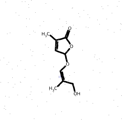 CC1=CC(O/C=C(/C)CO)OC1=O